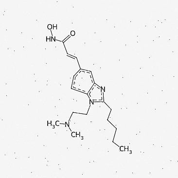 CCCCCc1nc2cc(/C=C/C(=O)NO)ccc2n1CCN(C)C